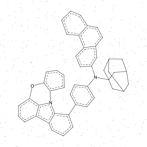 c1ccc2c(c1)Oc1cccc3c4cccc(-c5ccc(N(c6ccc7c(ccc8ccccc87)c6)C67CC8CC(CC(C8)C6)C7)cc5)c4n-2c13